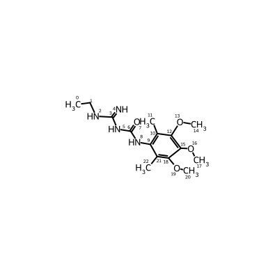 CCNC(=N)NC(=O)Nc1c(C)c(OC)c(OC)c(OC)c1C